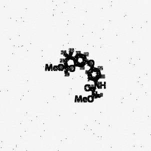 CON(C)C(=O)Nc1ccc(Oc2ccc3c(c2)OC(C)(OC)CC3(C)C)cc1